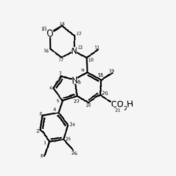 Cc1ccc(-c2ccn3c(C(C)N4CCOCC4)c(C)c(C(=O)O)cc23)cc1C